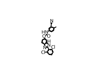 Cc1ccc(NC(=O)Oc2ccc3nc(-c4c(Cl)cccc4Cl)[nH]c3c2)cc1C#N